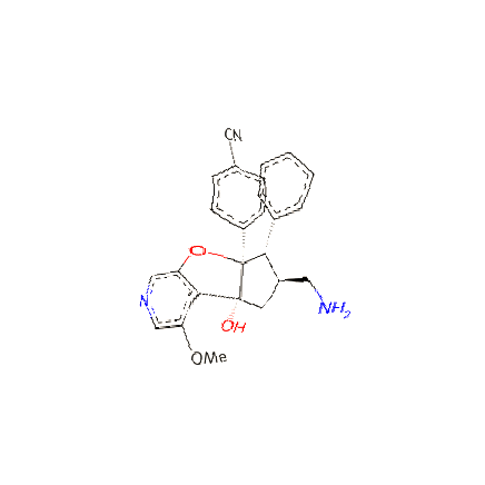 COc1cncc2c1[C@]1(O)C[C@H](CN)[C@@H](c3ccccc3)[C@]1(c1ccc(C#N)cc1)O2